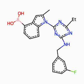 CCc1nc(NCc2cccc(F)c2)nc(-n2c(C)cc3c(B(O)O)cccc32)n1